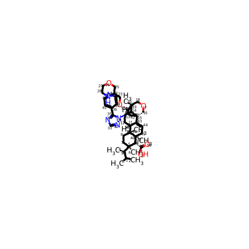 CC(C)[C@@H](C)[C@@]1(C)CC[C@]2(C)[C@H]3CC[C@@H]4[C@@]5(COC[C@@]4(C)[C@@H](OCC4COCCN4)[C@H](n4ncnc4-c4ccncc4)C5)C3=CC[C@@]2(C)[C@@H]1C(=O)O